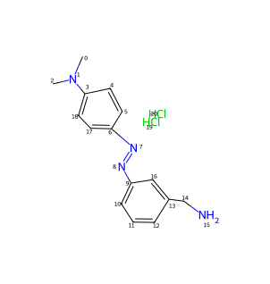 CN(C)c1ccc(N=Nc2cccc(CN)c2)cc1.Cl.Cl